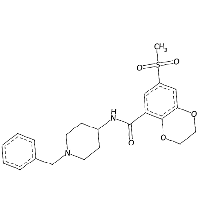 CS(=O)(=O)c1cc2c(c(C(=O)NC3CCN(Cc4ccccc4)CC3)c1)OCCO2